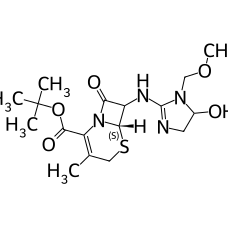 COCN1C(NC2C(=O)N3C(C(=O)OC(C)(C)C)=C(C)CS[C@@H]23)=NCC1O